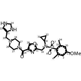 COc1cc(C)c(S(=O)(=O)N(Cc2nc(C(=O)N3CCN(CC4=CNCN4)CC3)co2)C2CC2)c(C)c1